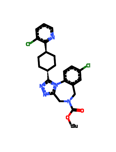 CC(C)(C)OC(=O)N1Cc2cc(Cl)ccc2-n2c(nnc2[C@H]2CC[C@H](c3ncccc3Cl)CC2)C1